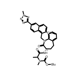 COc1ccc2cc(-c3nnn(C)n3)ccc2c1CN1C(=O)[C@@H](NC(=O)C(C)N(C)C(=O)OC(C)(C)C)CCc2ccccc21